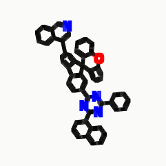 c1ccc(-c2nc(-c3ccc4c(c3)C3(c5ccccc5Oc5ccccc53)c3cc(-c5cncc6ccccc56)ccc3-4)nc(-c3cccc4ccccc34)n2)cc1